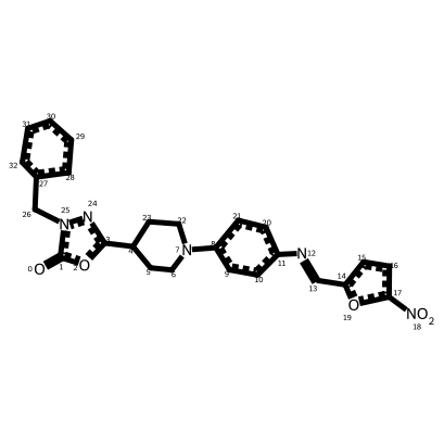 O=c1oc(C2CCN(c3ccc(/N=C/c4ccc([N+](=O)[O-])o4)cc3)CC2)nn1Cc1ccccc1